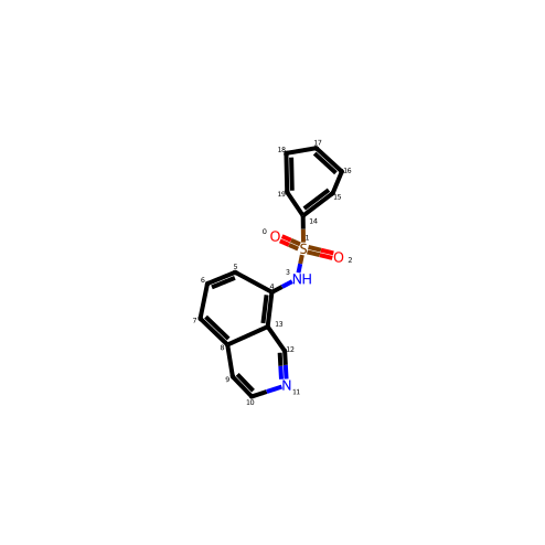 O=S(=O)(Nc1cccc2ccncc12)c1ccccc1